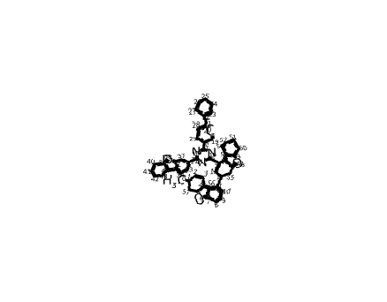 CC1C=Cc2c(oc3cccc(C4C=C(c5nc(-c6ccc(-c7ccccc7)cc6)nc(-c6ccc7c(c6)oc6ccccc67)n5)c5c(oc6ccccc56)C4)c23)C1